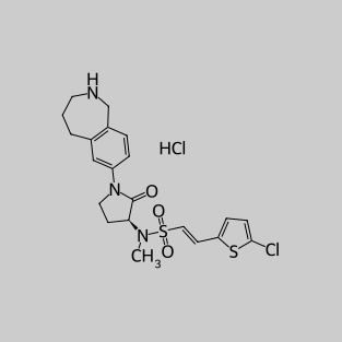 CN([C@H]1CCN(c2ccc3c(c2)CCCNC3)C1=O)S(=O)(=O)C=Cc1ccc(Cl)s1.Cl